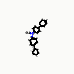 CCC(C)N(c1ccc(-c2ccccc2)cc1)c1ccc(-c2ccccc2)cc1